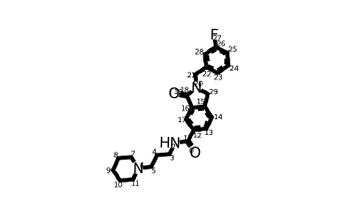 O=C(NCCCN1CCCCC1)c1ccc2c(c1)C(=O)N(Cc1cccc(F)c1)C2